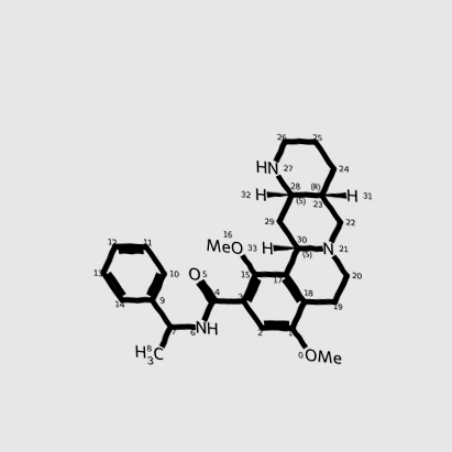 COc1cc(C(=O)NC(C)c2ccccc2)c(OC)c2c1CCN1C[C@H]3CCCN[C@H]3C[C@@H]21